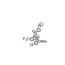 COc1ccc(Cl)cc1C1(F)C(=O)N(COC(=O)c2cccc(CN3CCCCC3)c2)c2cc(C(F)(F)F)ccc21